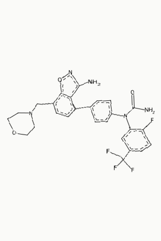 NC(=O)N(c1ccc(-c2ccc(CN3CCOCC3)c3onc(N)c23)cc1)c1cc(C(F)(F)F)ccc1F